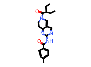 CCC(CC)C(=O)N1C=C2C=NC(NC(=O)c3ccc(C)cc3)N=C2CC1